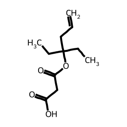 C=CCC(CC)(CC)OC(=O)CC(=O)O